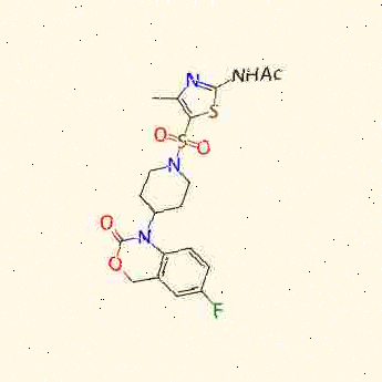 CC(=O)Nc1nc(C)c(S(=O)(=O)N2CCC(N3C(=O)OCc4cc(F)ccc43)CC2)s1